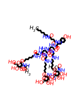 CCCCCCCNC(=O)CCC(=O)NC(Cc1ccc(O)cc1)C(=O)NC(CC(=O)NC(CC(=O)NCC(=O)NCCCCCCO[C@@H]1O[C@H](CO)[C@H](O)[C@H](O)[C@H]1NC(C)=O)C(=O)NCC(=O)NCCCCCCO[C@@H]1O[C@H](CO)[C@H](O)[C@H](O)[C@H]1N)C(=O)NCC(=O)NCCCCCCO[C@@H]1O[C@H](CO)[C@H](O)[C@H](O)[C@H]1NC(C)=O